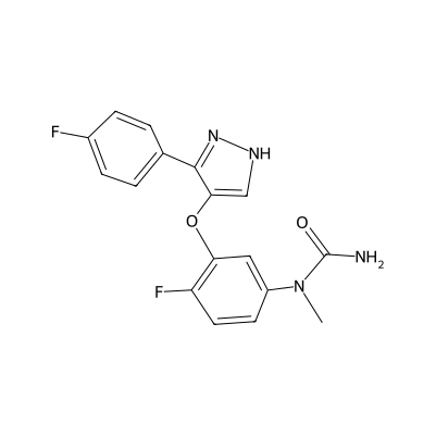 CN(C(N)=O)c1ccc(F)c(Oc2c[nH]nc2-c2ccc(F)cc2)c1